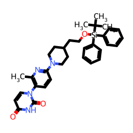 Cc1nc(N2CCC(CCO[Si](c3ccccc3)(c3ccccc3)C(C)(C)C)CC2)ccc1-n1ccc(=O)[nH]c1=O